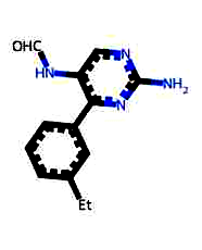 CCc1cccc(-c2nc(N)ncc2NC=O)c1